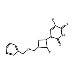 O=c1[nH]c(=O)n(C2CC(COCc3ccccc3)C2F)cc1F